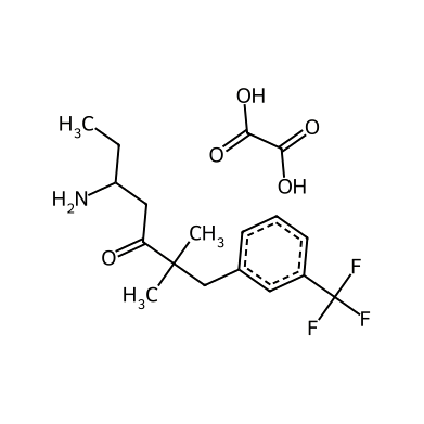 CCC(N)CC(=O)C(C)(C)Cc1cccc(C(F)(F)F)c1.O=C(O)C(=O)O